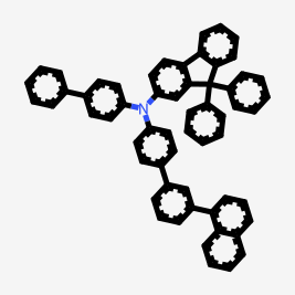 c1ccc(-c2ccc(N(c3ccc(-c4cccc(-c5cccc6ccccc56)c4)cc3)c3ccc4c(c3)C(c3ccccc3)(c3ccccc3)c3ccccc3-4)cc2)cc1